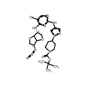 CC(C)(C)OC(=O)N1CCC(n2cc(Nc3ncc(Cl)c(N[C@@H]4COC5C4OC[C@@H]5N=[N+]=[N-])n3)cn2)CC1